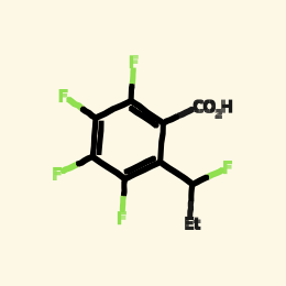 CCC(F)c1c(F)c(F)c(F)c(F)c1C(=O)O